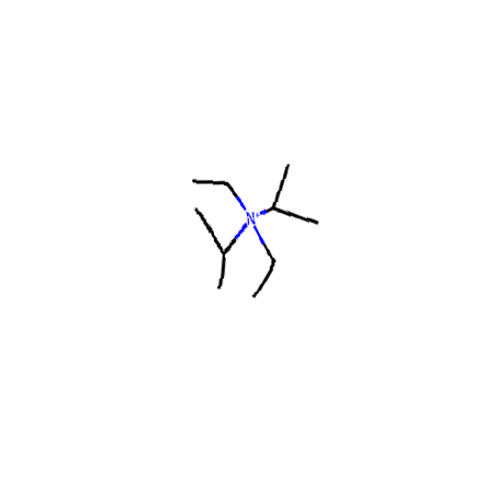 CC[N+](CC)(C(C)C)C(C)C